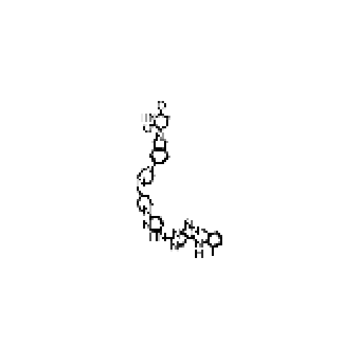 Cc1cccc(C)c1Nc1nn(C)c2nc(Nc3ccc(N4CCC(CN5CCN(c6ccc7c(c6)CN(C6CCC(=O)NC6=O)C7)CC5)CC4)nc3)ncc12